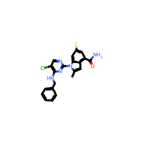 Cc1cc2c(C(N)=O)cc(F)cc2n1-c1ncc(Cl)c(NCc2ccccc2)n1